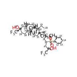 C[C@H](CC(C[C@@H](O)C(F)(F)F)S(=O)(=O)c1ccccc1)[C@H]1CC[C@H]2[C@@H]3CC[C@H]4C[C@](O)(C(F)(F)F)CC[C@]4(C)[C@H]3CC[C@]12C